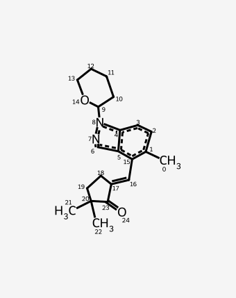 Cc1ccc2c(cnn2C2CCCCO2)c1C=C1CCC(C)(C)C1=O